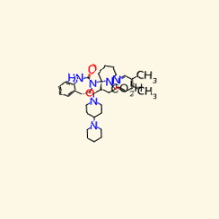 Cc1cnc(CC(C(=O)N2CCC(N3CCCCC3)CC2)[C@@]2(N3CCc4ccccc4NC3=O)CCCCN2C(=O)O)cc1C